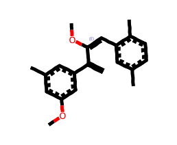 C=C(/C(=C\c1cc(C)ccc1C)OC)c1cc(C)cc(OC)c1